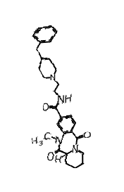 CN1C(=O)[C@H]2CCCCN2C(=O)c2ccc(C(=O)NCCN3CCC(Cc4ccccc4)CC3)cc21